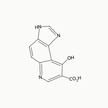 O=C(O)c1cnc2ccc3[nH]cnc3c2c1O